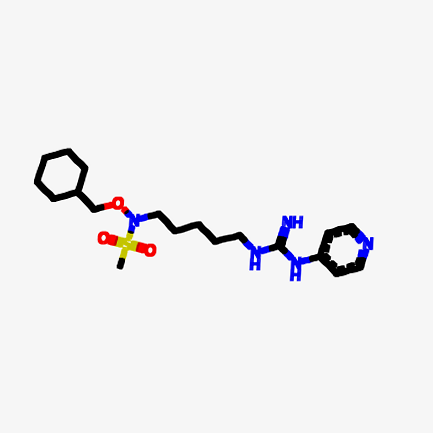 CS(=O)(=O)N(CCCCCNC(=N)Nc1ccncc1)OCC1CCCCC1